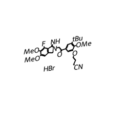 Br.COc1cc2c(c(F)c1OC)C(=N)N(CC(=O)c1cc(OCCCC#N)c(OC)c(C(C)(C)C)c1)C2